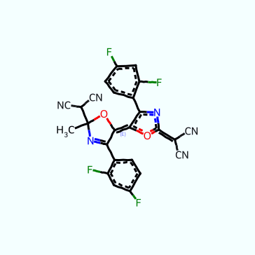 CC1(C(C#N)C#N)N=C(c2ccc(F)cc2F)/C(=c2\oc(=C(C#N)C#N)nc2-c2ccc(F)cc2F)O1